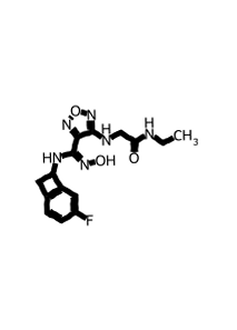 CCNC(=O)CNc1nonc1C(=NO)NC1Cc2ccc(F)cc21